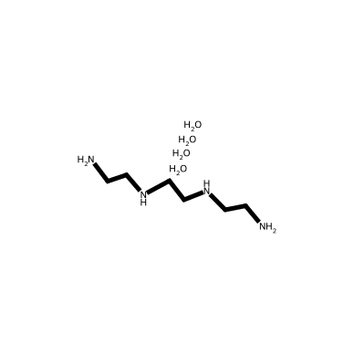 NCCNCCNCCN.O.O.O.O